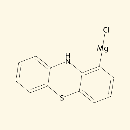 [Cl][Mg][c]1cccc2c1Nc1ccccc1S2